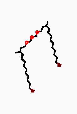 CC(C=CCCCCCCCCBr)CCOCOCOCCC(C)C=CCCCCCCCCBr